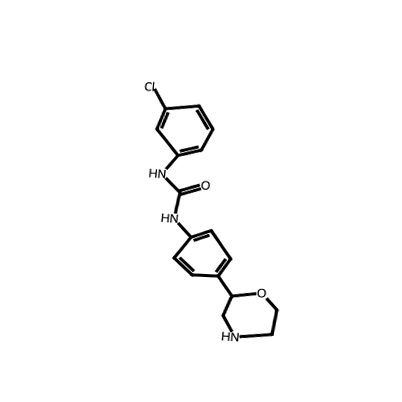 O=C(Nc1ccc(C2CNCCO2)cc1)Nc1cccc(Cl)c1